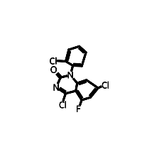 O=c1nc(Cl)c2c(F)cc(Cl)cc2n1-c1ccccc1Cl